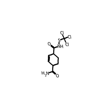 NC(=O)C1C=CC(C(=O)NSC(Cl)(Cl)Cl)CC1